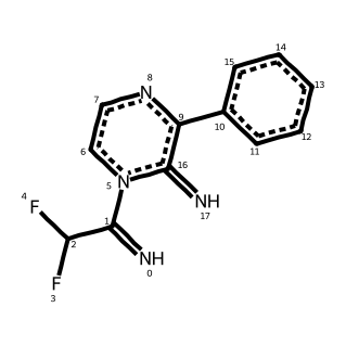 N=C(C(F)F)n1ccnc(-c2ccccc2)c1=N